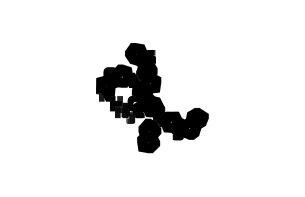 CC1(C)c2cc(N(c3ccc4ccccc4c3)c3ccc4c(c3)sc3ccc5ccccc5c34)ccc2-c2c1cc1c3c2ccc2cc4sc5ccccc5c4c(c23)n1-c1ccc2oc3ccncc3c2c1